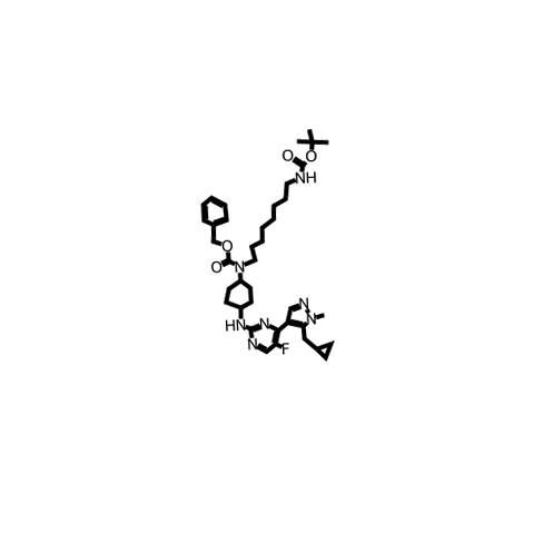 Cn1ncc(-c2nc(NC3CCC(N(CCCCCCCCNC(=O)OC(C)(C)C)C(=O)OCc4ccccc4)CC3)ncc2F)c1CC1CC1